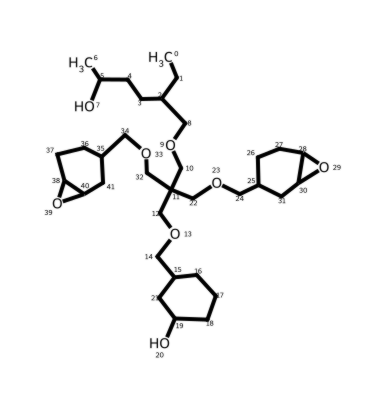 CCC(CCC(C)O)COCC(COCC1CCCC(O)C1)(COCC1CCC2OC2C1)COCC1CCC2OC2C1